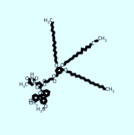 CCCCCCCCCCCCCCCCCCOc1cc(COC(=O)CCC(=O)O[C@H]2C[C@H](n3cc(C)c(=O)[nH]c3=O)O[C@@H]2COC(c2ccccc2)(c2ccc(OC)cc2)c2ccc(OC)cc2)cc(OCCCCCCCCCCCCCCCCCC)c1OCCCCCCCCCCCCCCCCCC